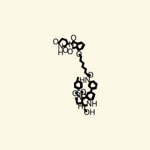 Cc1ccc(S(=O)(=O)N2CC[C@@H]3[C@H](CO)Nc4ccc(-c5cccc(NC(=O)CCCCCCOc6cccc7c6C(=O)N(C6CCC(=O)NC6=O)C7=O)c5)cc4[C@@H]32)cc1